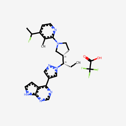 CC(F)c1ccnc(N2CC[C@H]([C@H](CC#N)n3cc(-c4ncnc5[nH]ccc45)cn3)C2)c1C#N.O=C(O)C(F)(F)F